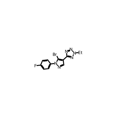 CCn1nnc(-c2cnn(-c3ccc(F)cc3)c2Br)n1